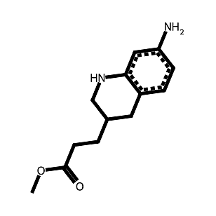 COC(=O)CCC1CNc2cc(N)ccc2C1